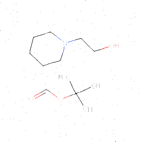 CC(C)(C)OC=O.OCCN1CCCCC1